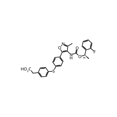 Cc1noc(-c2ccc(Sc3ccc(CC(=O)O)cc3)cc2)c1NC(=O)O[C@H](C)c1ccccc1F